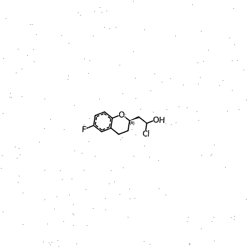 OC(Cl)C[C@H]1CCc2cc(F)ccc2O1